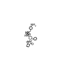 COc1ccccc1C(=O)NC[C@]1(c2ccccc2)CC[C@H](NS(=O)(=O)NCc2ccc(N)cc2)CC1